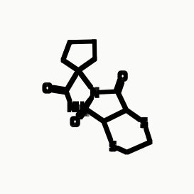 NC(=O)C1(N2C(=O)C3SCCSC3C2=O)CCCC1